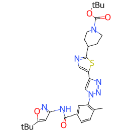 Cc1ccc(C(=O)Nc2cc(C(C)(C)C)on2)cc1-n1cc(-c2cnc(C3CCN(C(=O)OC(C)(C)C)CC3)s2)nn1